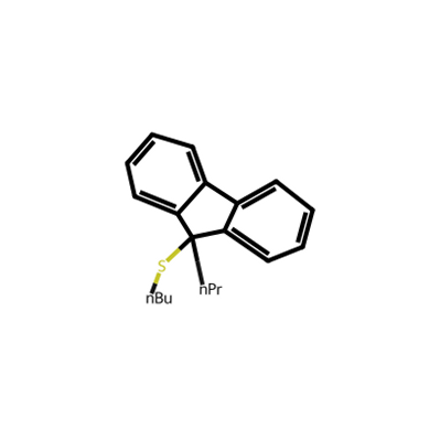 CCCCSC1(CCC)c2ccccc2-c2ccccc21